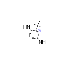 CC(C)(C)/C(=C/C(=N)F)C(=N)I